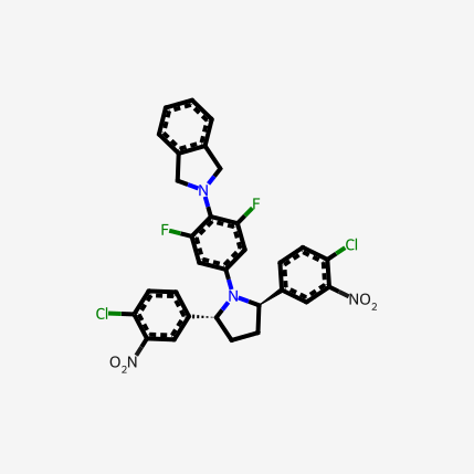 O=[N+]([O-])c1cc([C@H]2CC[C@H](c3ccc(Cl)c([N+](=O)[O-])c3)N2c2cc(F)c(N3Cc4ccccc4C3)c(F)c2)ccc1Cl